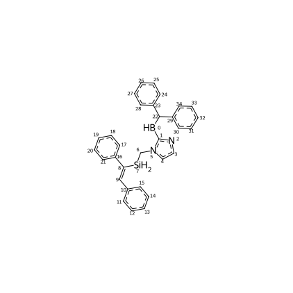 B(c1nccn1C[SiH2]C(=Cc1ccccc1)c1ccccc1)C(c1ccccc1)c1ccccc1